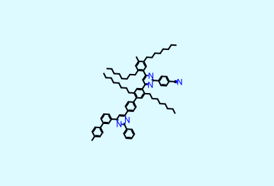 CCCCCCCCc1cc(-c2cc(-c3cc(CCCCCCCC)c(-c4ccc(-c5cc(-c6cccc(-c7ccc(C)cc7)c6)nc(-c6ccccc6)n5)cc4)cc3CCCCCCCC)nc(-c3ccc(C#N)cc3)n2)c(CCCCCCCC)cc1C